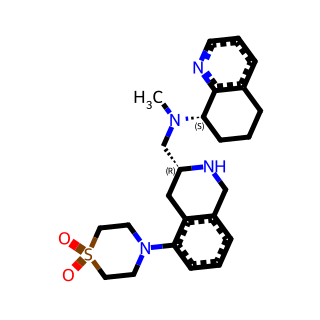 CN(C[C@H]1Cc2c(cccc2N2CCS(=O)(=O)CC2)CN1)[C@H]1CCCc2cccnc21